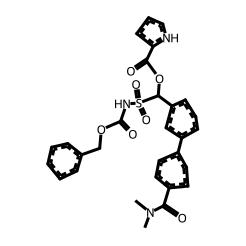 CN(C)C(=O)c1ccc(-c2cccc(C(OC(=O)c3ccc[nH]3)S(=O)(=O)NC(=O)OCc3ccccc3)c2)cc1